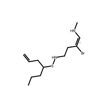 C=CCC(CCC)SNCC/C(Br)=C\NC